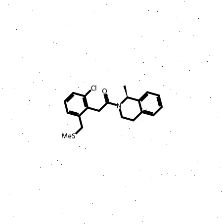 CSCc1cccc(Cl)c1CC(=O)N1CCc2ccccc2[C@@H]1C